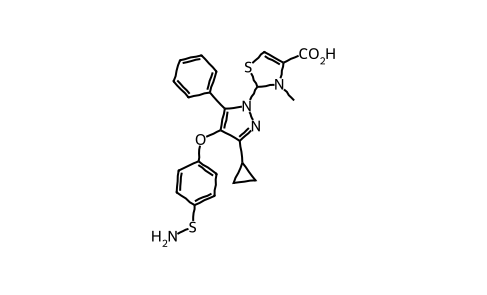 CN1C(C(=O)O)=CSC1n1nc(C2CC2)c(Oc2ccc(SN)cc2)c1-c1ccccc1